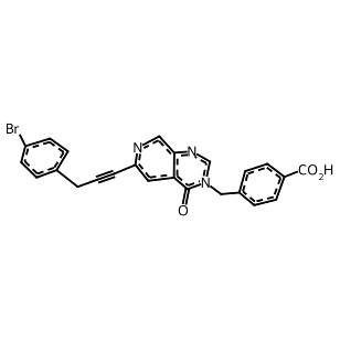 O=C(O)c1ccc(Cn2cnc3cnc(C#CCc4ccc(Br)cc4)cc3c2=O)cc1